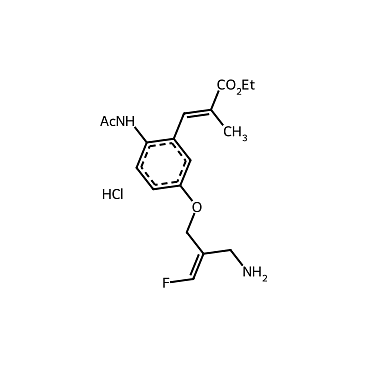 CCOC(=O)/C(C)=C/c1cc(OC/C(=C\F)CN)ccc1NC(C)=O.Cl